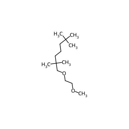 COCCOCC(C)(C)CCCC(C)(C)C